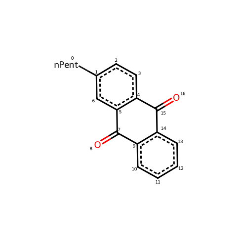 CCCCCc1ccc2c(c1)C(=O)c1ccccc1C2=O